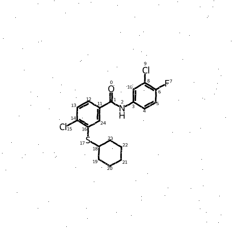 O=C(Nc1ccc(F)c(Cl)c1)c1ccc(Cl)c(SC2CCCCC2)c1